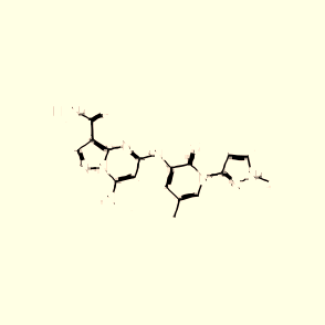 Cc1cc(Nc2cc(N)n3ncc(C(N)=O)c3n2)c(=O)n(-c2ccn(C)n2)c1